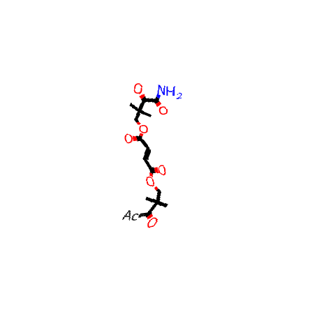 CC(=O)C(=O)C(C)(C)COC(=O)/C=C/C(=O)OCC(C)(C)C(=O)C(N)=O